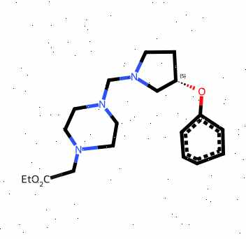 CCOC(=O)CN1CCN(CN2CC[C@H](Oc3ccccc3)C2)CC1